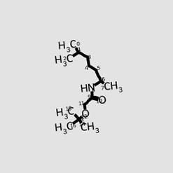 CC(C)CCCC(C)NC(=O)COC(C)(C)C